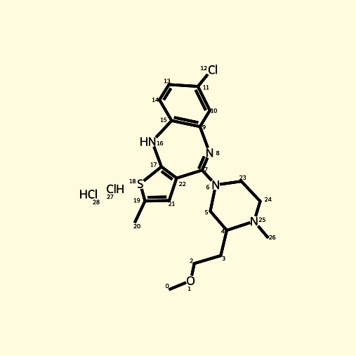 COCCC1CN(C2=Nc3cc(Cl)ccc3Nc3sc(C)cc32)CCN1C.Cl.Cl